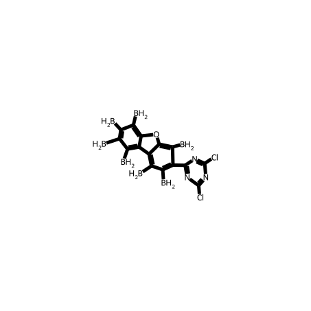 Bc1c(B)c(B)c2c(oc3c(B)c(-c4nc(Cl)nc(Cl)n4)c(B)c(B)c32)c1B